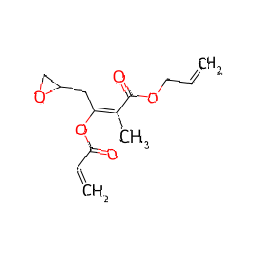 C=CCOC(=O)C(C)=C(CC1CO1)OC(=O)C=C